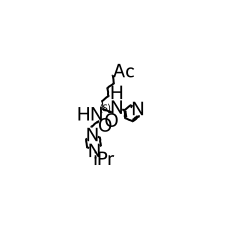 CC(=O)CCCCC[C@H](NC(=O)CN1CCN(C(C)C)CC1)C(=O)Nc1cccnc1